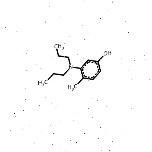 CCCN(CCC)c1cc(O)ccc1C